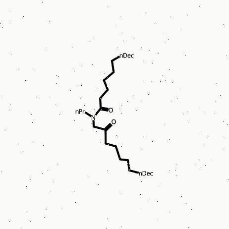 CCCCCCCCCCCCCCCC(=O)CN(CCC)C(=O)CCCCCCCCCCCCCCC